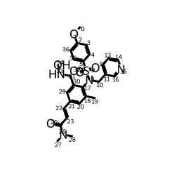 COc1ccc(S(=O)(=O)N(Cc2cccnc2)c2c(C)cc(C=CC(=O)N(C)C)cc2C(=O)NO)cc1